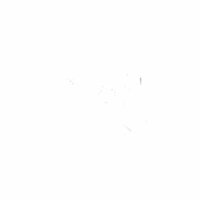 Cc1ccc(S(=O)(=O)c2cc(CCNC(=O)O)nn2-c2ccccc2Cl)cn1